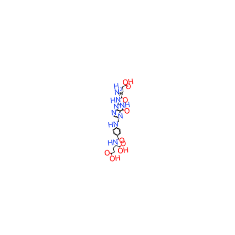 N[C@@H](CCC(=O)O)C(=O)Nc1nc2ncc(CNc3ccc(C(=O)NC(CCC(=O)O)C(=O)O)cc3)nc2c(=O)[nH]1